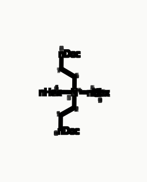 CCCCCCCCCCCC[N+](CCCCCC)(CCCCCC)CCCCCCCCCCCC.[Cl-]